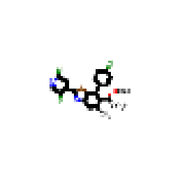 Cc1cc2nc(-c3cc(Cl)ncc3F)sc2c(-c2ccc(Cl)cc2)c1C(OC(C)(C)C)C(=O)O